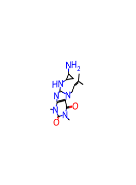 CC(C)=CCn1c(N[C@@H]2C[C@@H]2N)nc2c1c(=O)n(C)c(=O)n2C